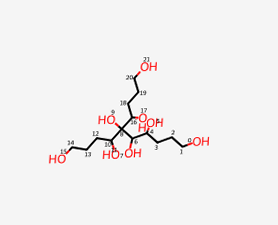 OCCCC(O)C(O)C(O)(C(O)CCCO)C(O)CCCO